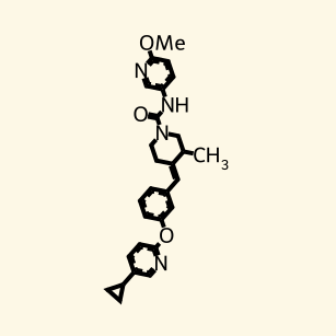 COc1ccc(NC(=O)N2CCC(=Cc3cccc(Oc4ccc(C5CC5)cn4)c3)C(C)C2)cn1